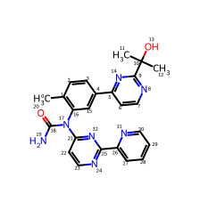 Cc1ccc(-c2ccnc(C(C)(C)O)n2)cc1N(C(N)=O)c1ccnc(-c2ccccn2)n1